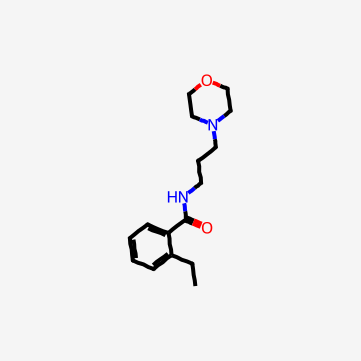 CCc1ccccc1C(=O)NCCCN1CCOCC1